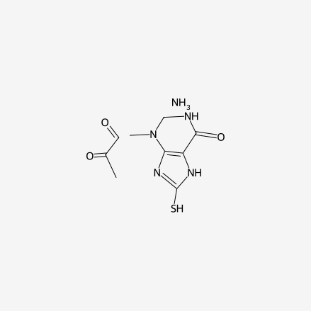 CC(=O)C=O.CN1CNC(=O)c2[nH]c(S)nc21.N